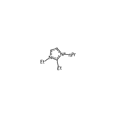 CCC[n+]1ccn(CC)c1CC